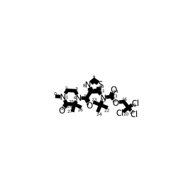 CN1CCN(C(=O)c2ncsc2N(C(=O)OCC(Cl)(Cl)Cl)C(C)(C)C)C(C)(C)C1=O